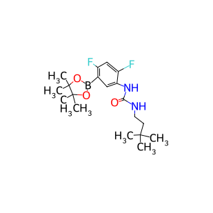 CC(C)(C)CCNC(=O)Nc1cc(B2OC(C)(C)C(C)(C)O2)c(F)cc1F